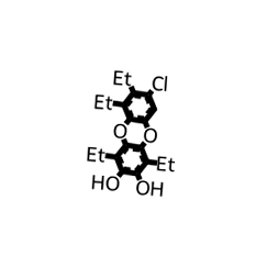 CCc1c(Cl)cc2c(c1CC)Oc1c(CC)c(O)c(O)c(CC)c1O2